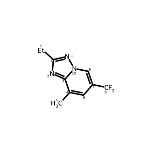 CCc1nc2c(C)cc(C(F)(F)F)cn2n1